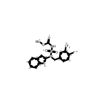 CC(C)(C)OC(=O)NS(=O)(=O)N(Cc1ccc(F)c(C(F)(F)F)c1)c1cc2ccccc2s1